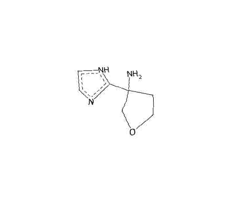 NC1(c2ncc[nH]2)CCOC1